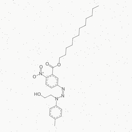 CCCCCCCCCCCCOC(=O)c1cc(/N=N\N(CCO)c2ccc(C)cc2)ccc1[N+](=O)[O-]